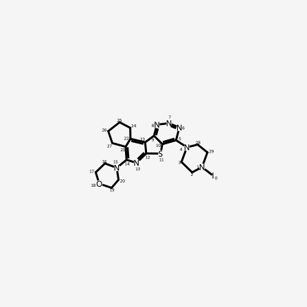 IN1CCN(c2nnnc3c2sc2nc(N4CCOCC4)c4c(c23)CCCC4)CC1